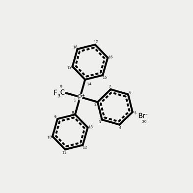 FC(F)(F)[P+](c1ccccc1)(c1ccccc1)c1ccccc1.[Br-]